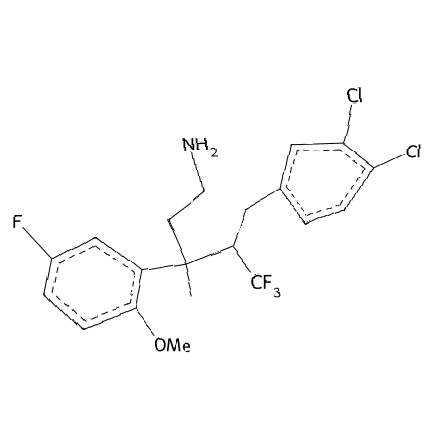 COc1ccc(F)cc1C(C)(CCN)C(Cc1ccc(Cl)c(Cl)c1)C(F)(F)F